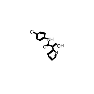 O=C(Nc1ccc(Cl)cc1)C(=CO)c1ccccn1